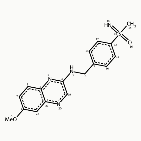 COc1ccc2nc(NCc3ccc(S(C)(=N)=O)cc3)cnc2c1